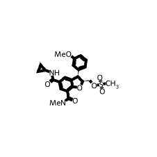 CNC(=O)c1cc(C(=O)NC2CC2)cc2c1O[C@@H](COS(C)(=O)=O)[C@H]2c1cccc(OC)c1